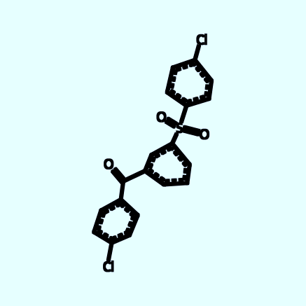 O=C(c1ccc(Cl)cc1)c1cccc(S(=O)(=O)c2ccc(Cl)cc2)c1